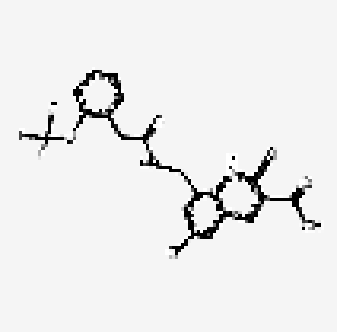 O=C(Cc1ccccc1OC(F)(F)F)NCc1cc(Cl)cc2cc(C(=O)O)c(=O)[nH]c12